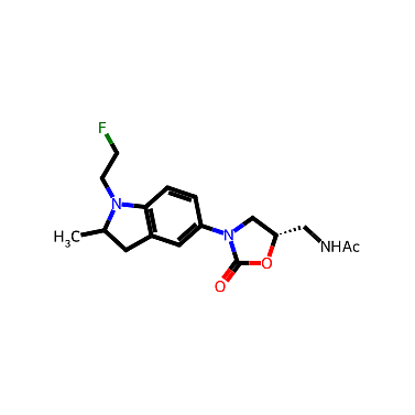 CC(=O)NC[C@H]1CN(c2ccc3c(c2)CC(C)N3CCF)C(=O)O1